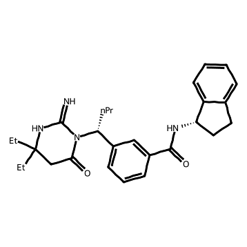 CCC[C@H](c1cccc(C(=O)N[C@H]2CCc3ccccc32)c1)N1C(=N)NC(CC)(CC)CC1=O